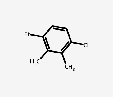 CCc1ccc(Cl)c(C)c1C